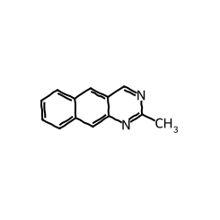 Cc1ncc2cc3ccccc3cc2n1